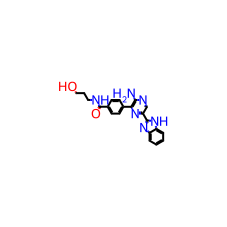 Nc1ncc(-c2nc3ccccc3[nH]2)nc1-c1ccc(C(=O)NCCCO)cc1